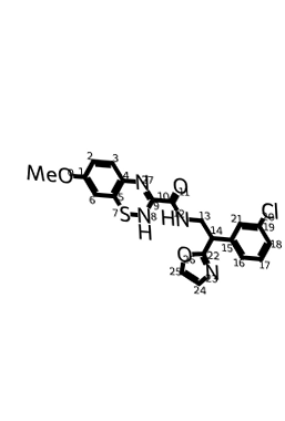 COc1ccc2c(c1)SNC(C(=O)NCC(c1cccc(Cl)c1)c1ncco1)=N2